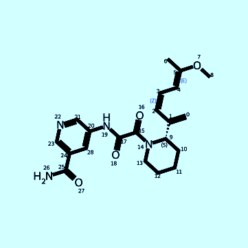 C=C(/C=C\C=C(/C)OC)[C@@H]1CCCCN1C(=O)C(=O)Nc1cncc(C(N)=O)c1